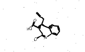 C=CCc1c(C(=O)O)c(Cl)nc2ccccc12